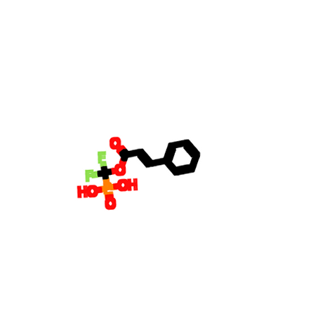 O=C(C=Cc1ccccc1)OC(F)(F)P(=O)(O)O